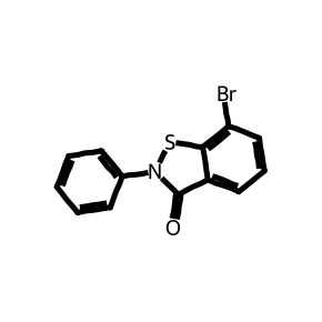 O=c1c2cccc(Br)c2sn1-c1ccccc1